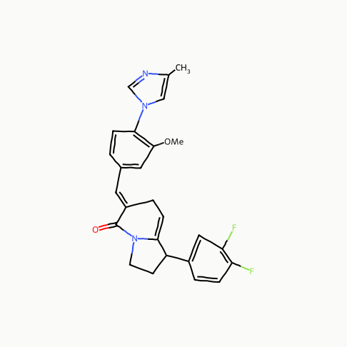 COc1cc(C=C2CC=C3C(c4ccc(F)c(F)c4)CCN3C2=O)ccc1-n1cnc(C)c1